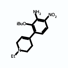 CCN1CC=C(c2ccc([N+](=O)[O-])c(N)c2OCC(C)C)CC1